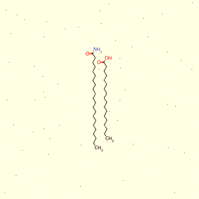 CCCCCCCCCCCCCCCCCC(=O)O.CCCCCCCCCCCCCCCCCCCCCC(N)=O